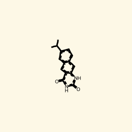 CC(C)c1ccc2cc3[nH]c(=O)[nH]c(=O)c3cc2c1